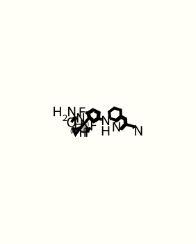 N#Cc1cnc2c(c1)CCCC2Nc1ccc(F)c([C@@]2(C(F)F)N=C(N)O[C@@H]3C[C@@H]32)c1